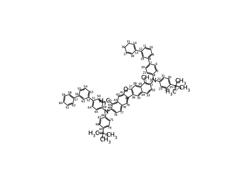 Cc1c(N(c2ccc(-c3cccc(C4=CCCC=C4)c3)cc2)c2ccc(C(C)(C)C)cc2)ccc2cc3c(cc12)oc1cc2c(C)c(N(c4ccc(-c5cccc(-c6ccccc6)c5)cc4)c4ccc(C(C)(C)C)cc4)ccc2cc13